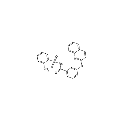 Cc1ccccc1S(=O)(=O)NC(=O)c1cccc(Oc2ccc3ccccc3n2)c1